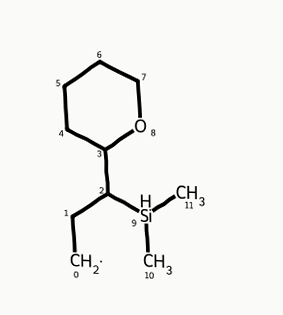 [CH2]CC(C1CCCCO1)[SiH](C)C